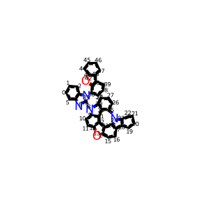 c1ccc2c(c1)nc(-n1c3ccc4oc5ccc6c7ccccc7n7c8cccc1c8c3c4c5c67)n2-c1cccc2c1oc1ccccc12